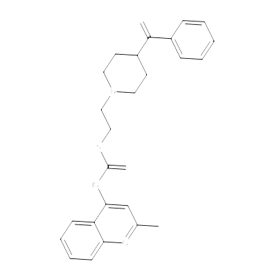 Cc1cc(NC(=O)NCCN2CCC(C(=O)c3ccccc3)CC2)c2ccccc2n1